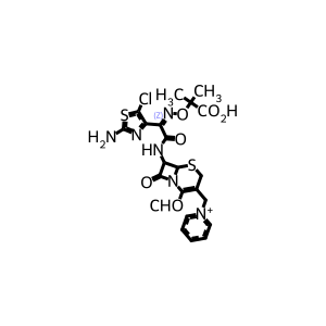 CC(C)(O/N=C(\C(=O)NC1C(=O)N2C(C=O)=C(C[n+]3ccccc3)CSC12)c1nc(N)sc1Cl)C(=O)O